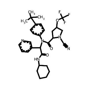 CC(C)(C)c1ccc(N(C(=O)C2CC(OC(F)(F)F)CN2C#N)C(C(=O)NC2CCCCC2)c2cccnc2)cc1